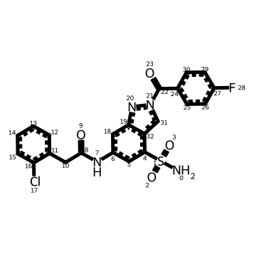 NS(=O)(=O)c1cc(NC(=O)Cc2ccccc2Cl)cc2nn(C(=O)c3ccc(F)cc3)cc12